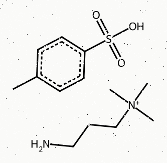 C[N+](C)(C)CCCN.Cc1ccc(S(=O)(=O)O)cc1